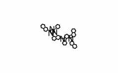 c1ccc(-c2nc(-c3ccc4ccccc4c3)nc(-c3cccc4cc(-n5c6ccccc6c6c5ccc5c7c8ccccc8ccc7n(-c7ccc8ccccc8c7)c56)ccc34)n2)cc1